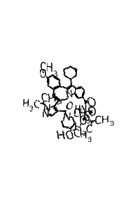 COc1ccc2c(c1)C=C(c1c(C(=O)N3CC[C@](C)(O)C[C@@H]3C)cnn1C(C)C)Cn1c-2c(C2CCCCC2)c2ccc(C(=O)NS(=O)(=O)C(C)C)cc21